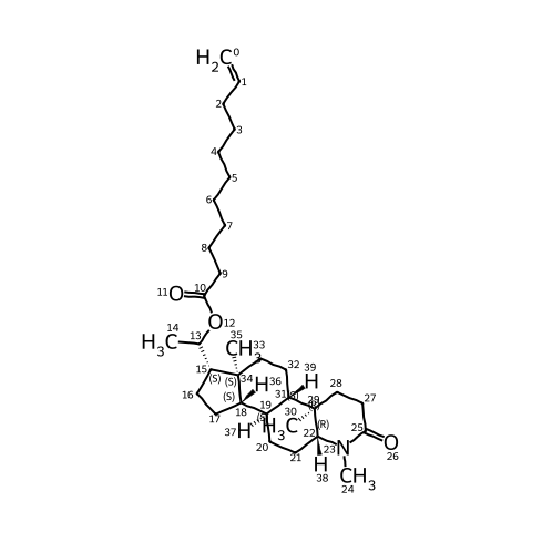 C=CCCCCCCCCC(=O)OC(C)[C@H]1CC[C@H]2[C@@H]3CC[C@H]4N(C)C(=O)CC[C@]4(C)[C@H]3CC[C@]12C